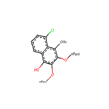 CCCCCOc1c(OCCCCC)c(OC(C)=O)c2c(Cl)cccc2c1O